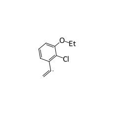 C=[C]c1cccc(OCC)c1Cl